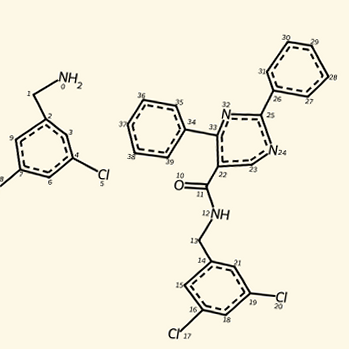 NCc1cc(Cl)cc(Cl)c1.O=C(NCc1cc(Cl)cc(Cl)c1)c1cnc(-c2ccccc2)nc1-c1ccccc1